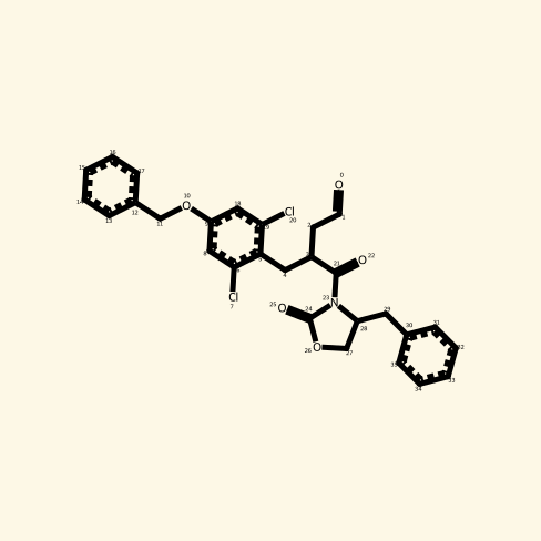 O=CCC(Cc1c(Cl)cc(OCc2ccccc2)cc1Cl)C(=O)N1C(=O)OCC1Cc1ccccc1